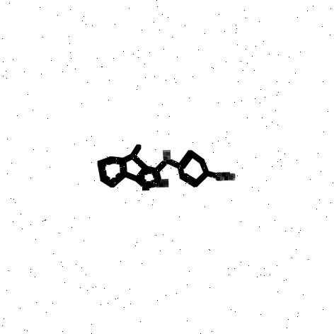 COC1C=CC(Nc2[nH]nc3c2C(C)c2ccccc2-3)=CC1